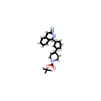 CC(C)(C)OC(=O)N1CC=C(c2cccc(-c3nc(Cl)cc4ccccc34)c2)CC1